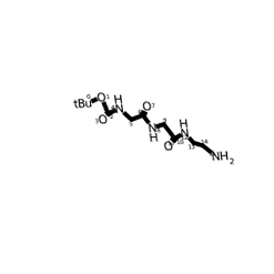 CC(C)(C)OC(=O)NCC(=O)NCC(=O)NCCN